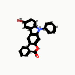 O=c1oc2cc3c(cc2c2ccccc12)c1cc(Br)ccc1n3-c1ccccc1